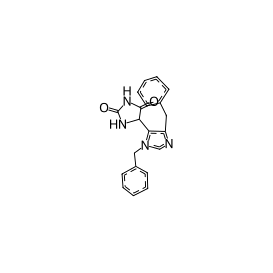 O=C1NC(=O)C(c2c(Cc3ccccc3)ncn2Cc2ccccc2)N1